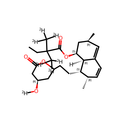 [2H]O[C@H]1CC(=O)OC(CC[C@@H]2[C@@H]3C(=C[C@H](C)C[C@@H]3OC(=O)C(CC)(C([2H])([2H])[2H])C([2H])([2H])[2H])C=C[C@@H]2C)C1